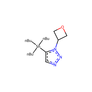 CCC[CH2][Sn]([CH2]CCC)([CH2]CCC)[c]1cnnn1C1COC1